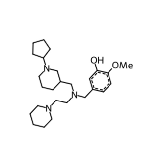 COc1ccc(CN(CCN2CCCCC2)CC2CCCN(C3CCCC3)C2)cc1O